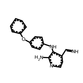 N=Cc1ccnc(N)c1Nc1ccc(Oc2ccccc2)cc1